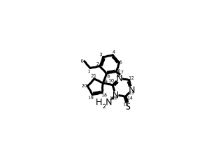 CCc1cccc(C)c1C1(c2ncnc(=S)n2N)C=CCC1